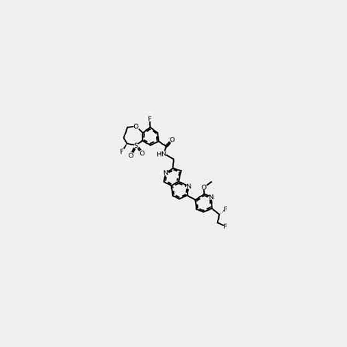 COc1nc([C@H](F)CF)ccc1-c1ccc2cnc(CNC(=O)c3cc(F)c4c(c3)S(=O)(=O)[C@@H](F)CCO4)cc2n1